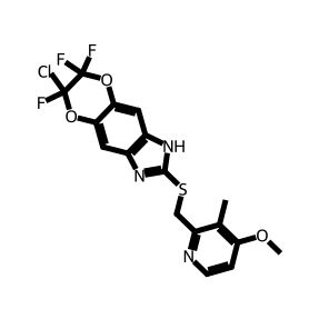 COc1ccnc(CSc2nc3cc4c(cc3[nH]2)OC(F)(F)C(F)(Cl)O4)c1C